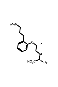 CCC[C@H](NC[C@@H](C)Oc1ccccc1CCCNC)C(=O)O